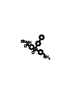 CC(C)(C)NC(=O)N1CCC2(CC1)C(=O)N(c1ccc(CN)cc1)C2c1ccc(-c2ccccc2)cc1